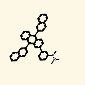 CB(C)P(C)c1cccc(-c2ccc3c(-c4ccc5ccccc5c4)c4ccccc4c(-c4ccc5ccccc5c4)c3c2)c1